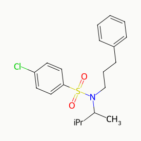 CC(C)C(C)N(CCCc1ccccc1)S(=O)(=O)c1ccc(Cl)cc1